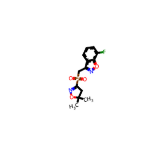 CC1(C)CC(S(=O)(=O)Cc2noc3c(F)cccc23)=NO1